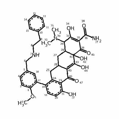 COc1ccc(CNCCc2ccccc2)cc1-c1ccc(O)c2c1CC1CC3C(N(C)C)C(O)=C(C(N)=O)C(=O)C3(O)C(O)=C1C2=O